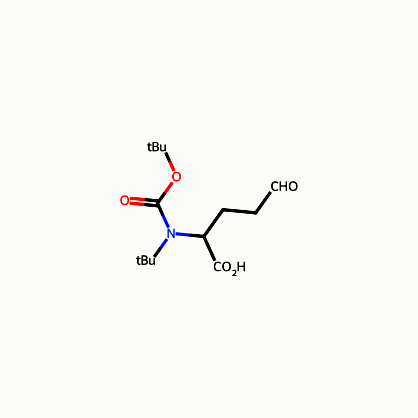 CC(C)(C)OC(=O)N(C(CCC=O)C(=O)O)C(C)(C)C